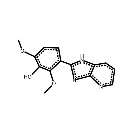 COc1ccc(-c2nc3ncccc3[nH]2)c(OC)c1O